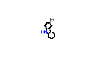 CCc1ccc2[nH]c3ccccc3c2c1